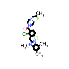 Cc1cc(C(F)(F)F)cc2c1nc(Cc1c(Cl)ccc(C(=O)N3CCN(CC(C)F)CC3)c1Cl)n2C